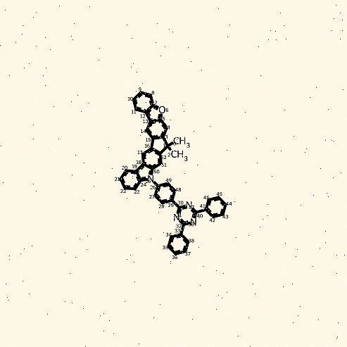 CC1(C)c2cc3oc4ccccc4c3cc2-c2cc3c4ccccc4n(-c4ccc(-c5nc(-c6ccccc6)nc(-c6ccccc6)n5)cc4)c3cc21